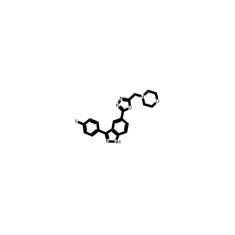 Fc1ccc(-c2n[nH]c3ccc(-c4nnc(CN5CCOCC5)o4)cc23)cc1